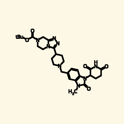 Cn1c(=O)n(C2CCC(=O)NC2=O)c2ccc(CN3CCC(c4nnc5n4CCN(C(=O)OC(C)(C)C)C5)CC3)cc21